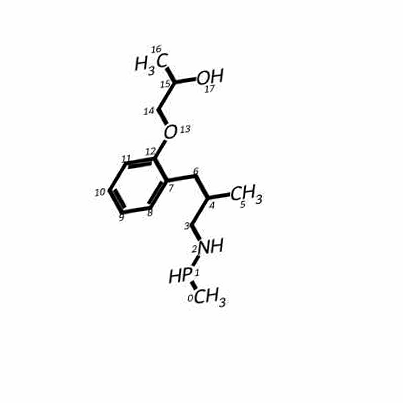 CPNCC(C)Cc1ccccc1OCC(C)O